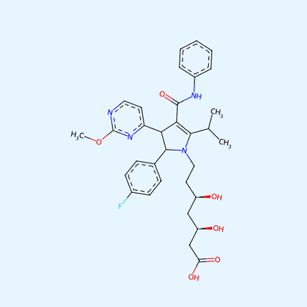 COc1nccc(C2C(C(=O)Nc3ccccc3)=C(C(C)C)N(CC[C@@H](O)C[C@@H](O)CC(=O)O)C2c2ccc(F)cc2)n1